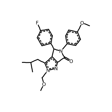 COCn1nc2c(c1CC(C)C)C(c1ccc(F)cc1)N(c1ccc(OC)cc1)C2=O